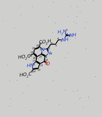 N=C(N)NCCCc1nc2c(=O)c3cc(C(=O)O)[nH]c3c3c(C(=O)O)cc(C(=O)O)n1c23